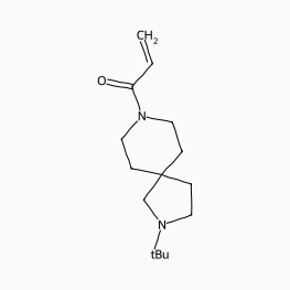 C=CC(=O)N1CCC2(CC1)CCN(C(C)(C)C)C2